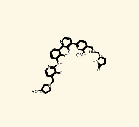 COc1nc(-c2ccnc(-c3cccc(Nc4nccc(CN5CC[C@@H](O)C5)c4F)c3Cl)c2Cl)ccc1CNC[C@H]1CCC(=O)N1